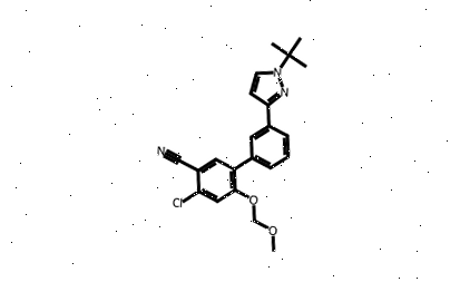 COCOc1cc(Cl)c(C#N)cc1-c1cccc(-c2ccn(C(C)(C)C)n2)c1